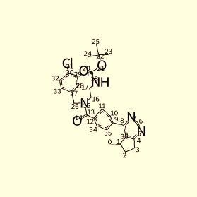 CC1CCc2ncnc(-c3ccc(C(=O)N(CCNC(=O)OC(C)(C)C)Cc4ccc(Cl)cc4)cc3)c21